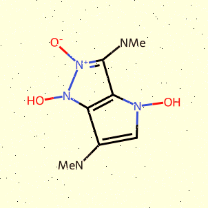 CNc1cn(O)c2c(NC)[n+]([O-])n(O)c12